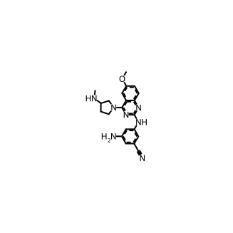 CNC1CCN(c2nc(Nc3cc(N)cc(C#N)c3)nc3ccc(OC)cc23)C1